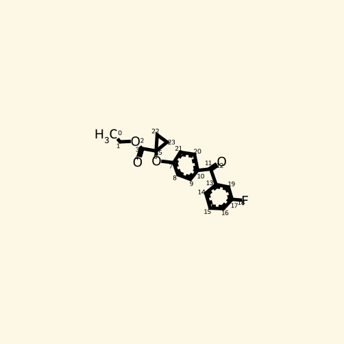 CCOC(=O)C1(Oc2ccc(C(=O)c3cccc(F)c3)cc2)CC1